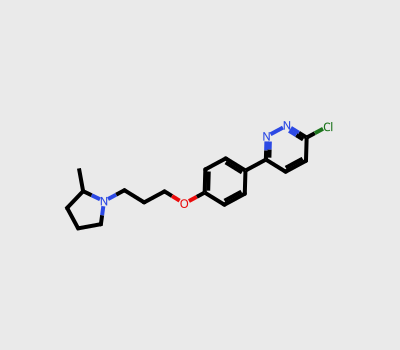 CC1CCCN1CCCOc1ccc(-c2ccc(Cl)nn2)cc1